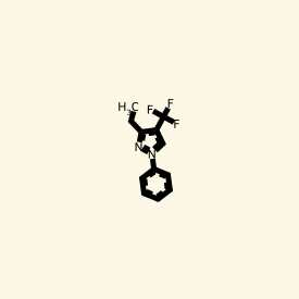 CCc1nn(-c2ccccc2)cc1C(F)(F)F